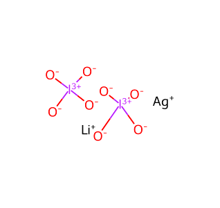 [Ag+].[Li+].[O-][I+3]([O-])([O-])[O-].[O-][I+3]([O-])([O-])[O-]